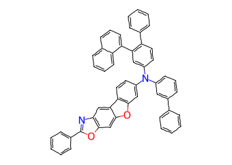 c1ccc(-c2cccc(N(c3ccc(-c4ccccc4)c(-c4cccc5ccccc45)c3)c3ccc4c(c3)oc3cc5oc(-c6ccccc6)nc5cc34)c2)cc1